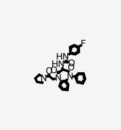 O=C(Nc1ccc(F)cc1)NC1C(=O)N(CC(=O)N2CCCC2)c2ccccc2N(c2ccccc2)C1=O